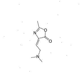 CC1=N/C(=C/CN(C)C)C(=O)O1